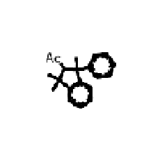 CC(=O)C1C(C)(C)c2ccccc2C1(C)c1ccccc1